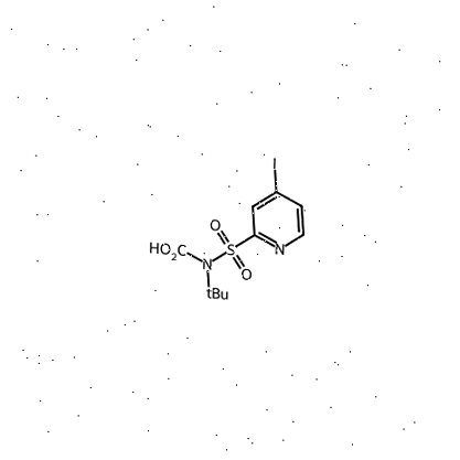 CC(C)(C)N(C(=O)O)S(=O)(=O)c1cc(I)ccn1